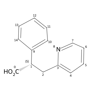 O=C(O)[C@@H](Cc1ccccn1)c1ccccc1